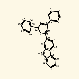 C1=C(c2ccccc2)C=C(c2ccc3c(c2)[nH]c2ccccc23)CC1c1ccccc1